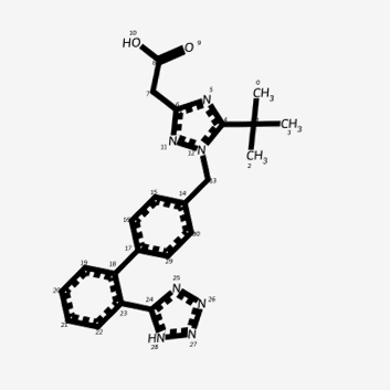 CC(C)(C)c1nc(CC(=O)O)nn1Cc1ccc(-c2ccccc2-c2nnn[nH]2)cc1